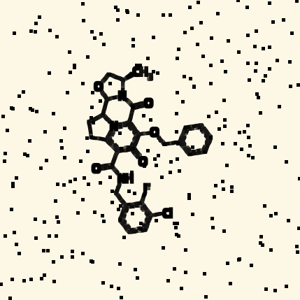 C[C@@H]1COC2C3CCc4c(C(=O)NCc5cccc(Cl)c5F)c(=O)c(OCc5ccccc5)c(n43)C(=O)N21